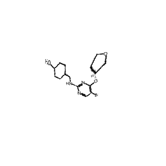 OC1CCC(CNc2ncc(Br)c(O[C@@H]3CCOC3)n2)CC1